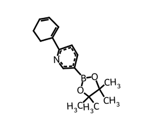 CC1(C)OB(c2ccc(C3=CC=CCC3)nc2)OC1(C)C